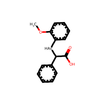 COc1ccccc1[AsH]C(C(=O)O)c1ccccc1